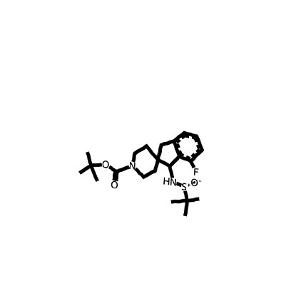 CC(C)(C)OC(=O)N1CCC2(CC1)Cc1cccc(F)c1C2N[S@+]([O-])C(C)(C)C